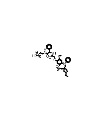 CCCCC1(CC)CN(c2ccccc2)c2cc(SC)c(OCC(=O)N[C@@H](C(=O)NCCS(=O)(=O)O)c3ccccc3)cc2S(=O)(=O)C1